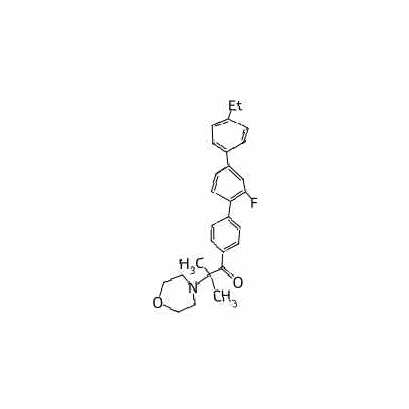 CCc1ccc(-c2ccc(-c3ccc(C(=O)C(C)(C)N4CCOCC4)cc3)c(F)c2)cc1